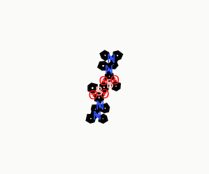 c1ccc(-n2c3ccccc3c3ccc4c(c5ccccc5n4-c4cc5c6c(c4)Oc4cc7c(cc4B6c4ccccc4O5)Oc4cc(-n5c6ccccc6c6c5ccc5c8ccccc8n(-c8ccccc8)c56)cc5c4B7c4ccccc4O5)c32)cc1